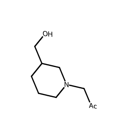 CC(=O)CN1CCCC(CO)C1